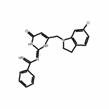 N=C(/N=c1/[nH]c(CN2CCc3ccc(Cl)cc32)cc(=O)[nH]1)c1ccccc1